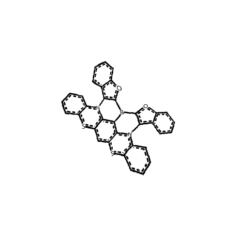 c1ccc2c3c(oc2c1)B1c2oc4ccccc4c2-n2c4ccccc4sc4cc5sc6ccccc6n-3c5c1c42